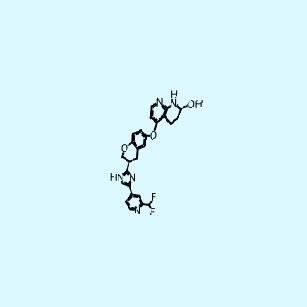 OC1CCc2c(Oc3ccc4c(c3)C[C@@H](c3nc(-c5ccnc(C(F)F)c5)c[nH]3)CO4)ccnc2N1